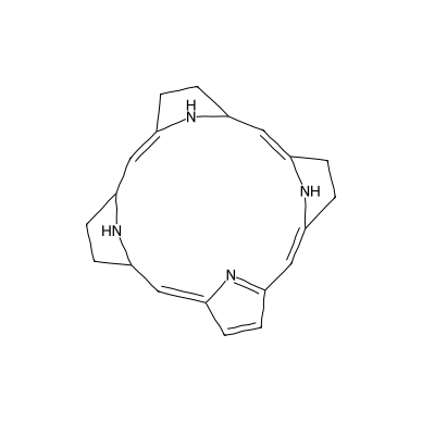 C1=CC2=NC1=CC1CCC(C=C3CCC(C=C4CCC(=C2)N4)N3)N1